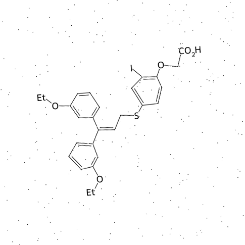 CCOc1cccc(C(=CCSc2ccc(OCC(=O)O)c(I)c2)c2cccc(OCC)c2)c1